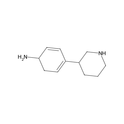 NC1C=CC(C2CCCNC2)=CC1